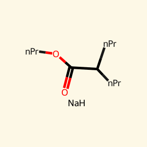 CCCOC(=O)C(CCC)CCC.[NaH]